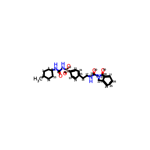 CC1CCC(NC(=O)NS(=O)(=O)c2ccc(CCNC(=O)N3Cc4ccccc4C3=O)cc2)CC1